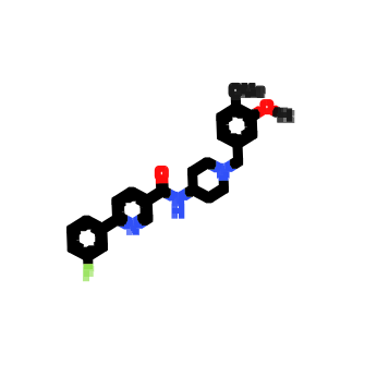 CCOc1cc(CN2CCC(NC(=O)c3ccc(-c4cccc(F)c4)nc3)CC2)ccc1OC